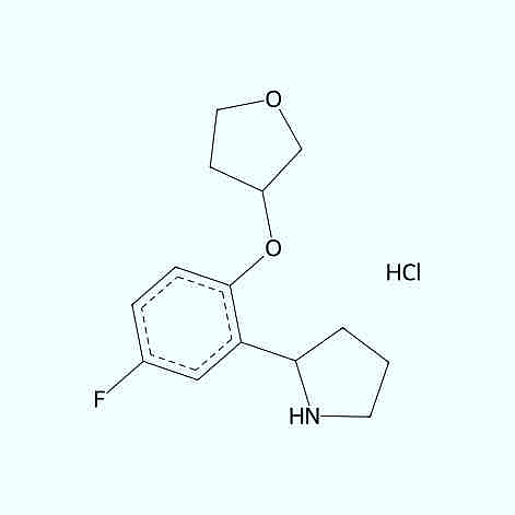 Cl.Fc1ccc(OC2CCOC2)c(C2CCCN2)c1